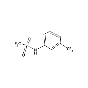 O=S(=O)(Nc1c[c]cc(C(F)(F)F)c1)C(F)(F)F